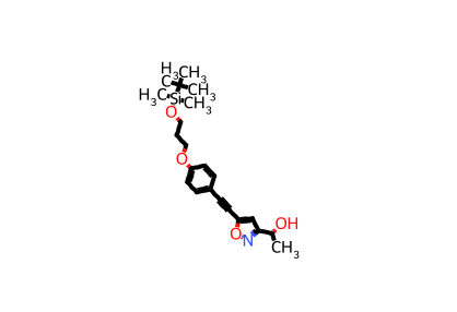 CC(O)c1cc(C#Cc2ccc(OCCCO[Si](C)(C)C(C)(C)C)cc2)on1